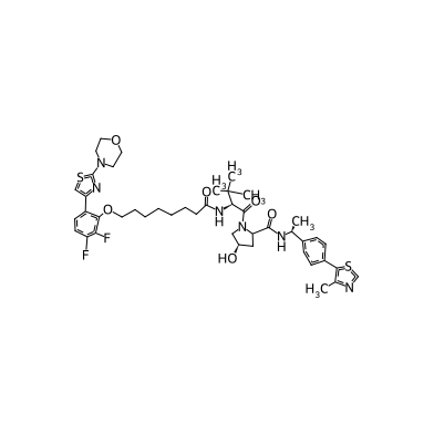 Cc1ncsc1-c1ccc([C@H](C)NC(=O)C2C[C@@H](O)CN2C(=O)[C@@H](NC(=O)CCCCCCCOc2c(-c3csc(N4CCOCC4)n3)ccc(F)c2F)C(C)(C)C)cc1